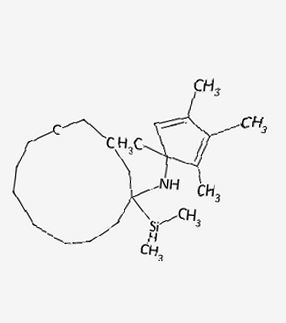 CC1=CC(C)(NC2([SiH](C)C)CCCCCCCCCCC2)C(C)=C1C